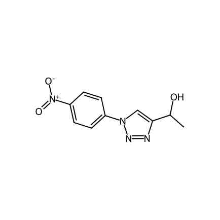 CC(O)c1cn(-c2ccc([N+](=O)[O-])cc2)nn1